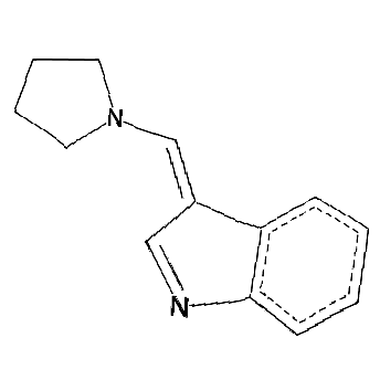 C1=Nc2ccccc2/C1=C/N1CCCC1